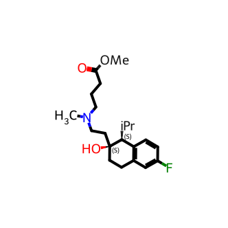 COC(=O)CCCN(C)CC[C@@]1(O)CCc2cc(F)ccc2[C@@H]1C(C)C